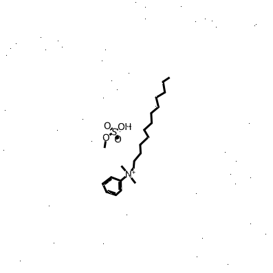 CCCCCCCCCCCCC[N+](C)(C)c1ccccc1.COS(=O)(=O)O